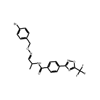 CC(C=NOCc1ccc(Br)cc1)NC(=O)c1ccc(-c2noc(C(F)(F)F)n2)cc1